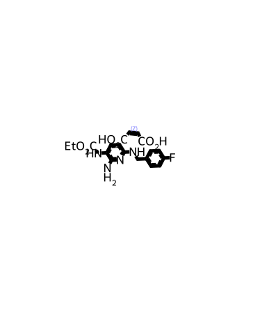 CCOC(=O)Nc1ccc(NCc2ccc(F)cc2)nc1N.O=C(O)/C=C\C(=O)O